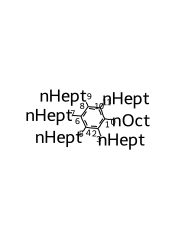 CCCCCCCCc1c(CCCCCCC)c(CCCCCCC)c(CCCCCCC)c(CCCCCCC)c1CCCCCCC